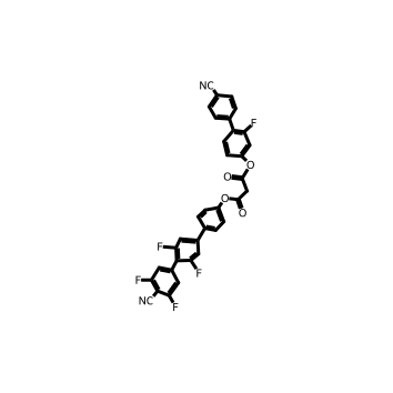 N#Cc1ccc(-c2ccc(OC(=O)CC(=O)Oc3ccc(-c4cc(F)c(-c5cc(F)c(C#N)c(F)c5)c(F)c4)cc3)cc2F)cc1